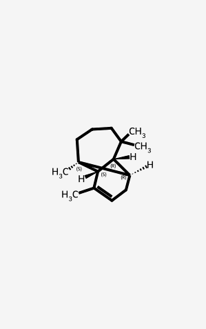 CC1=CC[C@@H]2[C@@H]3[C@H]1[C@@]2(C)CCCC3(C)C